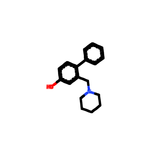 Oc1ccc(-c2ccccc2)c(CN2CCCCC2)c1